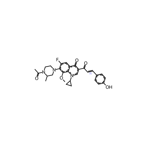 COc1c(N2CCN(C(C)=O)C(C)C2)c(F)cc2c(=O)c(C(=O)/C=C/c3ccc(O)cc3)cn(C3CC3)c12